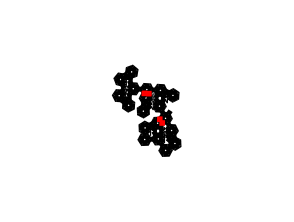 Cc1cc(-c2ccc3c4ccccc4n4c3c2B2c3c(c(-c5ccccc5)cc(-c5ccccc5)c3-4)-n3c4ccccc4c4cccc2c43)ccc1-c1cc2c3c(c1)-n1c4ccccc4c4ccc(-c5ccc(-c6cc7c8c(c6)-n6c9ccccc9c9cccc(c96)B8c6cccc8c9ccccc9n-7c68)cc5)c(c41)B3c1cccc3c4ccccc4n-2c13